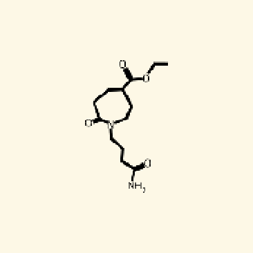 CCOC(=O)C1CCC(=O)N(CCCC(N)=O)CC1